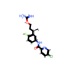 C[C@H](CCOC(=N)N)c1cc(NC(=O)c2ccc(Cl)cn2)ccc1F